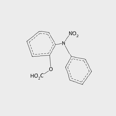 O=C(O)Oc1ccccc1N(c1ccccc1)[N+](=O)[O-]